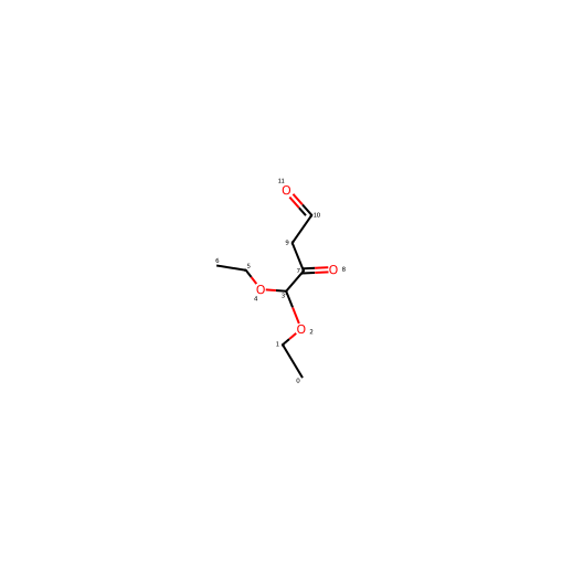 CCO[C](OCC)C(=O)CC=O